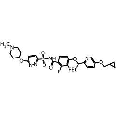 CC[C@@H](Oc1ccc(C(=O)NS(=O)(=O)c2ccc(OC3CCN(C)CC3)nn2)c(F)c1F)c1ccc(OCC2CC2)cn1